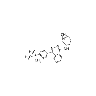 CN1CCCC(Nc2nnc(-c3ccc(C(C)(C)C)nc3)c3ccccc23)C1